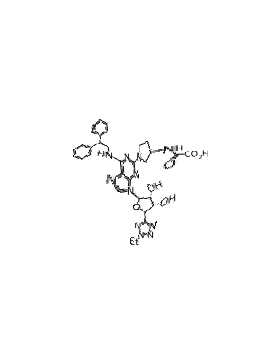 CCn1nnc([C@H]2O[C@@H](n3cnc4c(NCC(c5ccccc5)c5ccccc5)nc(N5CC[C@@H](NC(=O)C(=O)O)C5)nc43)[C@H](O)[C@@H]2O)n1